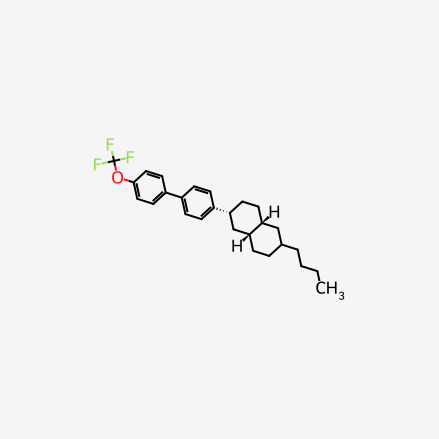 CCCCC1CC[C@@H]2C[C@H](c3ccc(-c4ccc(OC(F)(F)F)cc4)cc3)CC[C@@H]2C1